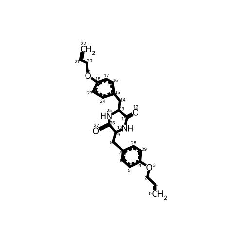 C=CCOc1ccc(CC2NC(=O)C(Cc3ccc(OCC=C)cc3)NC2=O)cc1